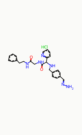 Cl.NN=Cc1ccc(CNC(C(=O)NCC(=O)NCCc2ccccc2)c2ccccn2)cc1